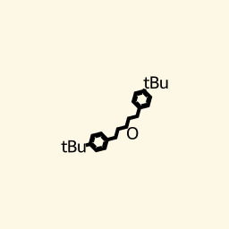 CC(C)(C)c1ccc(CCC(=O)CCc2ccc(C(C)(C)C)cc2)cc1